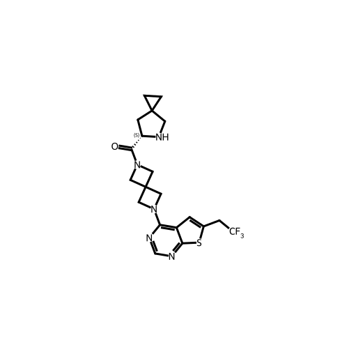 O=C([C@@H]1CC2(CC2)CN1)N1CC2(C1)CN(c1ncnc3sc(CC(F)(F)F)cc13)C2